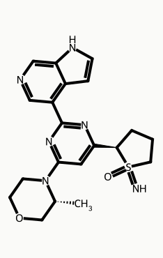 C[C@@H]1COCCN1c1cc([C@H]2CCCS2(=N)=O)nc(-c2cncc3[nH]ccc23)n1